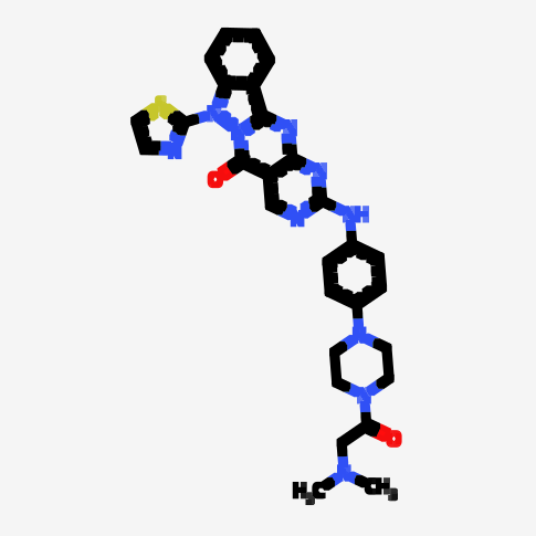 CN(C)CC(=O)N1CCN(c2ccc(Nc3ncc4c(=O)n5c(nc4n3)c3ccccc3n5-c3nccs3)cc2)CC1